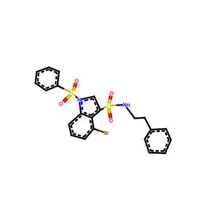 O=S(=O)(NCCc1ccccc1)c1cn(S(=O)(=O)c2ccccc2)c2cccc(Br)c12